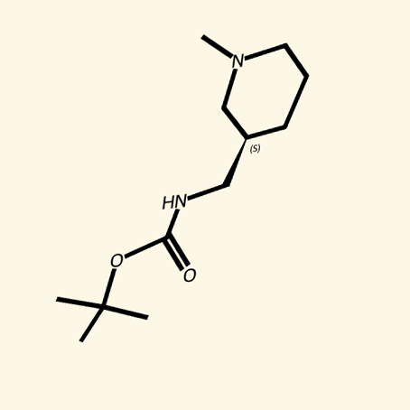 CN1CCC[C@@H](CNC(=O)OC(C)(C)C)C1